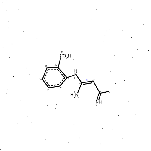 CC(=N)/C=C(\N)Nc1ccccc1C(=O)O